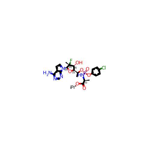 CC(C)OC(=O)[C@H](C)NP(=O)(Oc1ccc(Cl)cc1)OC(C)[C@H]1O[C@@H](n2ccc3c(N)ncnc32)[C@](C)(F)[C@@H]1O